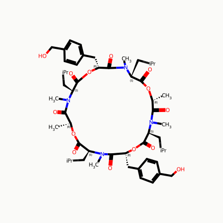 CC(C)C[C@H]1C(=O)O[C@H](Cc2ccc(CO)cc2)C(=O)N(C)[C@@H](CC(C)C)C(=O)O[C@H](C)C(=O)N(C)[C@@H](CC(C)C)C(=O)O[C@H](Cc2ccc(CO)cc2)C(=O)N(C)[C@@H](CC(C)C)C(=O)O[C@H](C)C(=O)N1C